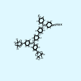 CCCCCCc1ccc(N(c2ccc(F)cc2)c2ccc(-c3ccc(N(c4ccc(B5OC(C)(C)C(C)(C)O5)cc4)c4ccc(B5OC(C)(C)C(C)(C)O5)cc4)cc3)cc2)cc1